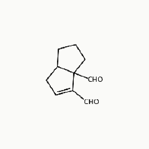 O=CC1=CCC2CCCC12C=O